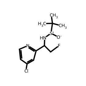 CC(C)(C)[S+]([O-])NC(CF)c1cc(Cl)ccn1